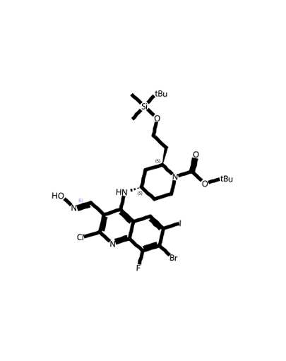 CC(C)(C)OC(=O)N1CC[C@H](Nc2c(/C=N/O)c(Cl)nc3c(F)c(Br)c(I)cc23)C[C@H]1CCO[Si](C)(C)C(C)(C)C